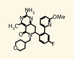 COc1cccc(-c2cc(F)ccc2C2Cc3nc(N)nc(C)c3C(=O)N2CC2CCOCC2)n1